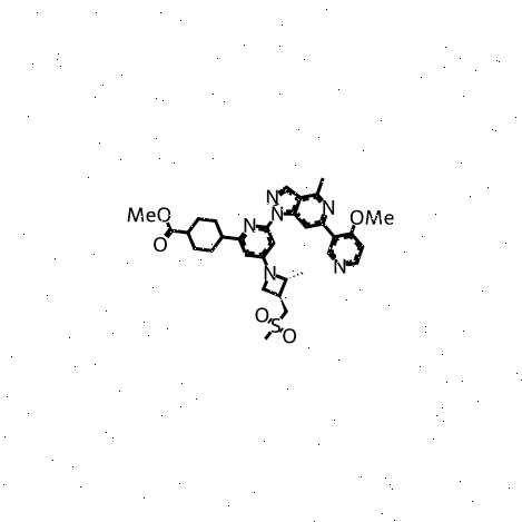 COC(=O)C1CCC(c2cc(N3C[C@H](CS(C)(=O)=O)[C@H]3C)cc(-n3ncc4c(C)nc(-c5cnccc5OC)cc43)n2)CC1